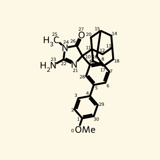 COc1ccc(-c2cccc(C3(C45CC6CC(CC(C6)C4)C5)N=C(N)N(C)C3=O)c2)cc1